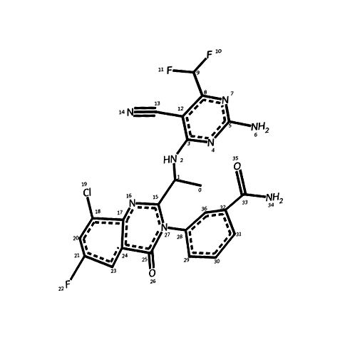 CC(Nc1nc(N)nc(C(F)F)c1C#N)c1nc2c(Cl)cc(F)cc2c(=O)n1-c1cccc(C(N)=O)c1